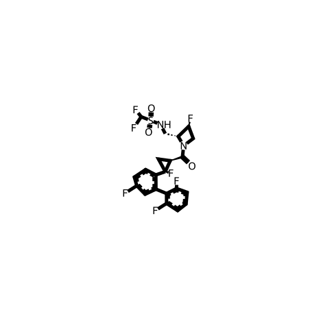 O=C([C@@H]1C[C@@]1(F)c1ccc(F)cc1-c1c(F)cccc1F)N1C[C@@H](F)[C@H]1CNS(=O)(=O)C(F)F